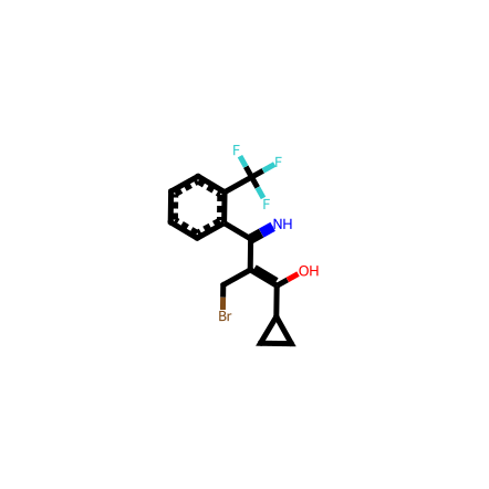 N=C(/C(CBr)=C(\O)C1CC1)c1ccccc1C(F)(F)F